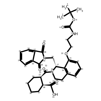 CC(C)(C)OC(=O)NCCOc1cccc2c1[C@@H](CN1C(=O)c3ccccc3C1=O)N(C(=O)[C@@H]1CCCC[C@@H]1C(=O)O)CC2